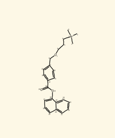 C[N+](C)(C)CCCOCc1ccc(C(=O)Oc2cccc3cccnc23)cc1